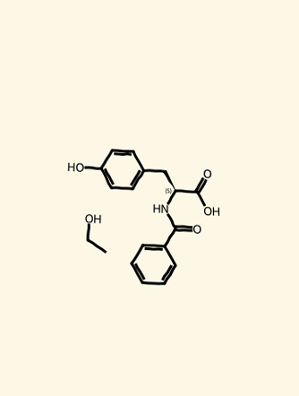 CCO.O=C(N[C@@H](Cc1ccc(O)cc1)C(=O)O)c1ccccc1